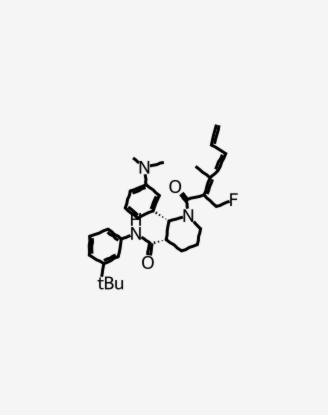 C=C/C=C\C(C)=C(/CF)C(=O)N1CCC[C@H](C(=O)Nc2cccc(C(C)(C)C)c2)[C@@H]1c1cccc(N(C)C)c1